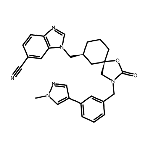 Cn1cc(-c2cccc(CN3C[C@@]4(CCC[C@H](Cn5cnc6ccc(C#N)cc65)C4)OC3=O)c2)cn1